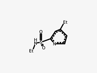 CCNS(=O)(=O)c1cc(CC)ccn1